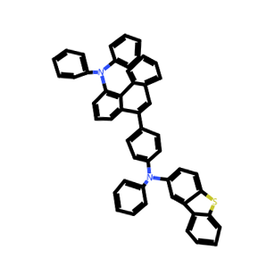 c1ccc(N(c2ccc(-c3cc4ccccc4c4c(N(c5ccccc5)c5ccccc5)cccc34)cc2)c2ccc3sc4ccccc4c3c2)cc1